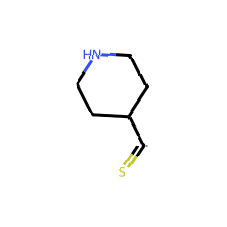 S=[C]C1CCNCC1